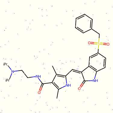 Cc1[nH]c(/C=C2\C(=O)Nc3ccc(S(=O)(=O)Cc4ccccc4)cc32)c(C)c1C(=O)NCCN(C(C)C)C(C)C